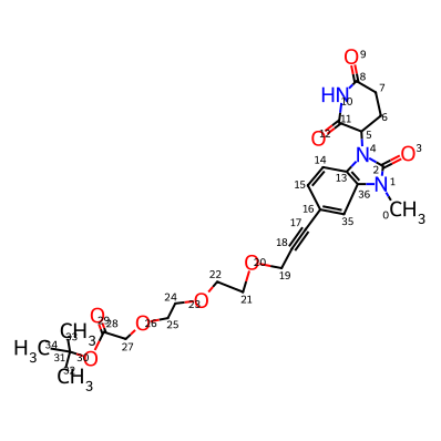 Cn1c(=O)n(C2CCC(=O)NC2=O)c2ccc(C#CCOCCOCCOCC(=O)OC(C)(C)C)cc21